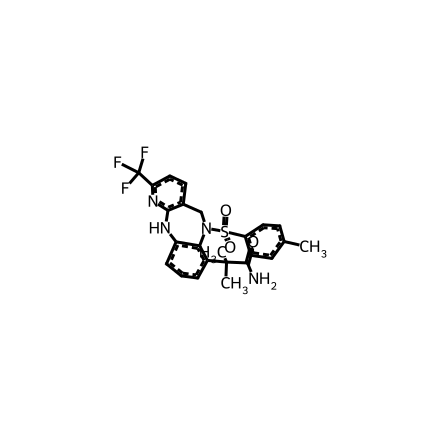 Cc1ccc(S(=O)(=O)N2Cc3ccc(C(F)(F)F)nc3Nc3cccc(C(C)(C)C(N)=O)c32)cc1